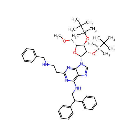 COC[C@H]1O[C@@H](n2cnc3c(NCC(c4ccccc4)c4ccccc4)nc(CCNCc4ccccc4)nc32)[C@@H](O[Si](C)(C)C(C)(C)C)[C@@H]1O[Si](C)(C)C(C)(C)C